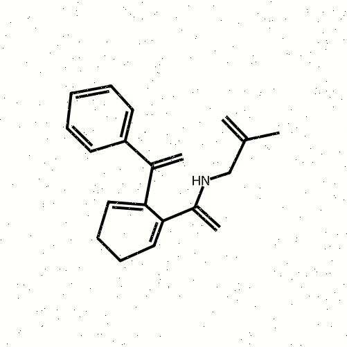 C=C(C)CNC(=C)C1=CCCC=C1C(=C)c1ccccc1